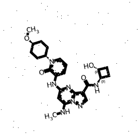 CNc1cc(Nc2cccn([C@H]3CC[C@H](OC)CC3)c2=O)nc2c(C(=O)N[C@@H]3CC[C@H]3O)cnn12